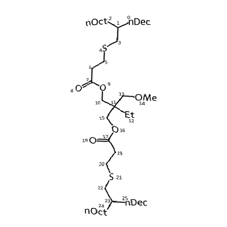 CCCCCCCCCCC(CCCCCCCC)CSCCC(=O)OCC(CC)(COC)COC(=O)CCSCC(CCCCCCCC)CCCCCCCCCC